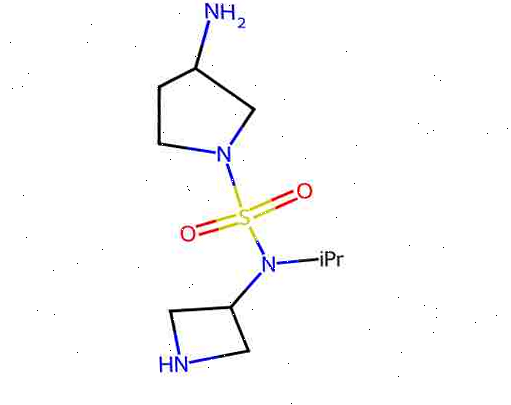 CC(C)N(C1CNC1)S(=O)(=O)N1CCC(N)C1